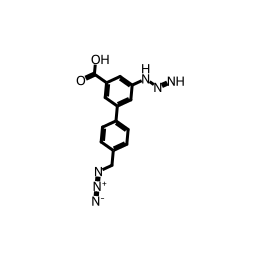 [N-]=[N+]=NCc1ccc(-c2cc(NN=N)cc(C(=O)O)c2)cc1